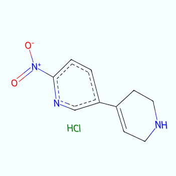 Cl.O=[N+]([O-])c1ccc(C2=CCNCC2)cn1